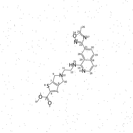 COC(=O)c1cc2c(s1)CN(CCNc1nccc3ccc(-c4noc(C)n4)cc13)C2